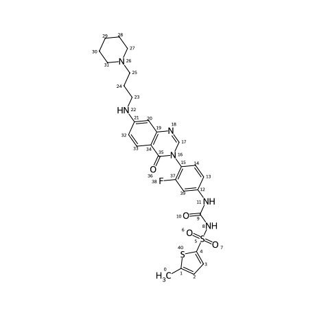 Cc1ccc(S(=O)(=O)NC(=O)Nc2ccc(-n3cnc4cc(NCCCN5CCCCC5)ccc4c3=O)c(F)c2)s1